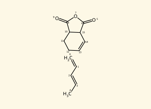 C=CC=CC.O=C1OC(=O)C2CCC=CC12